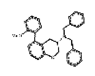 COc1ncccc1-c1cccc2c1C[C@H](N(Cc1ccccc1)Cc1ccccc1)CO2